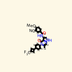 COc1ccc(C(=O)N[C@H]2CNN3C=C(C)N(c4ccc(C5CC(C(F)(F)F)C5)cc4)C(=O)C23)cc1C#N